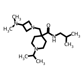 CC(C)CNC(=O)C1(CN2CC(N(C)C)C2)CCN(C(C)C)CC1